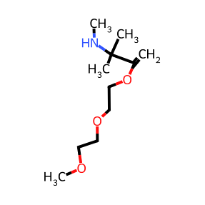 C=C(OCCOCCOC)C(C)(C)NC